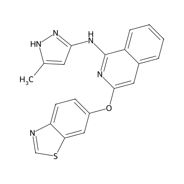 Cc1cc(Nc2nc(Oc3ccc4ncsc4c3)cc3ccccc23)n[nH]1